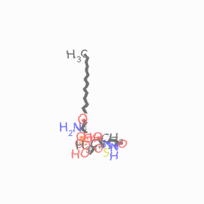 CCCCCCCCCCCCCCOC[C@H](N)COP(=O)(O)OC[C@H](CO)O[C@@H](n1ccc(=O)[nH]c1=S)C(C)(C)O